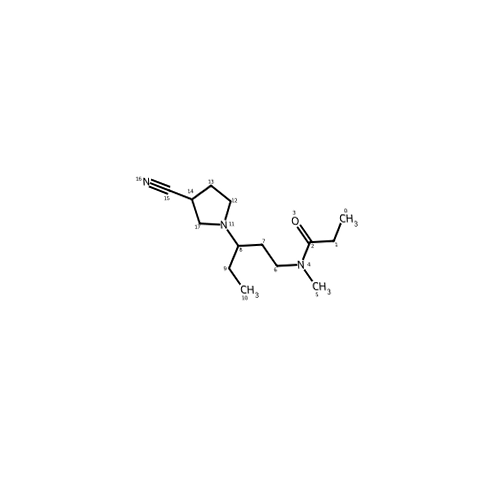 CCC(=O)N(C)CCC(CC)N1CCC(C#N)C1